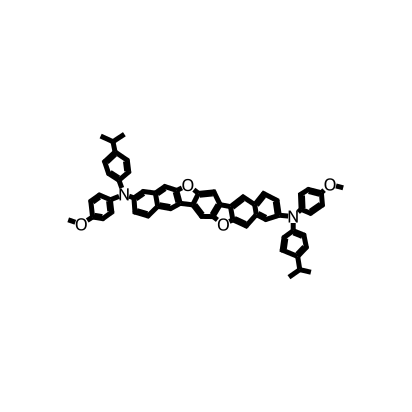 COc1ccc(N(c2ccc(C(C)C)cc2)c2ccc3cc4c(cc3c2)oc2cc3c(cc24)oc2cc4cc(N(c5ccc(OC)cc5)c5ccc(C(C)C)cc5)ccc4cc23)cc1